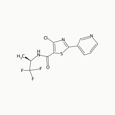 C[C@@H](NC(=O)c1sc(-c2cccnc2)nc1Cl)C(F)(F)F